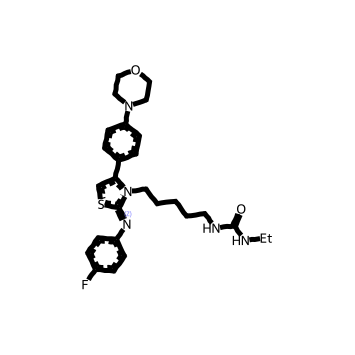 CCNC(=O)NCCCCCn1c(-c2ccc(N3CCOCC3)cc2)cs/c1=N\c1ccc(F)cc1